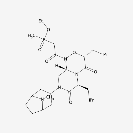 CCOP(C)(=O)CC(=O)N1O[C@H](CC(C)C)C(=O)N2[C@@H]1CN(C1CC3CCC(C1)N3C)C(=O)[C@@H]2CC(C)C